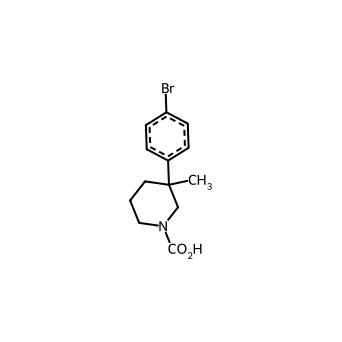 CC1(c2ccc(Br)cc2)CCCN(C(=O)O)C1